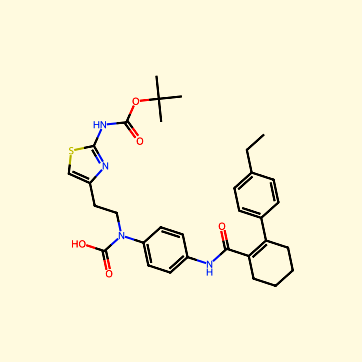 CCc1ccc(C2=C(C(=O)Nc3ccc(N(CCc4csc(NC(=O)OC(C)(C)C)n4)C(=O)O)cc3)CCCC2)cc1